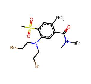 CCCN(C)C(=O)c1cc(N(CCBr)CCBr)c(S(C)(=O)=O)cc1[N+](=O)[O-]